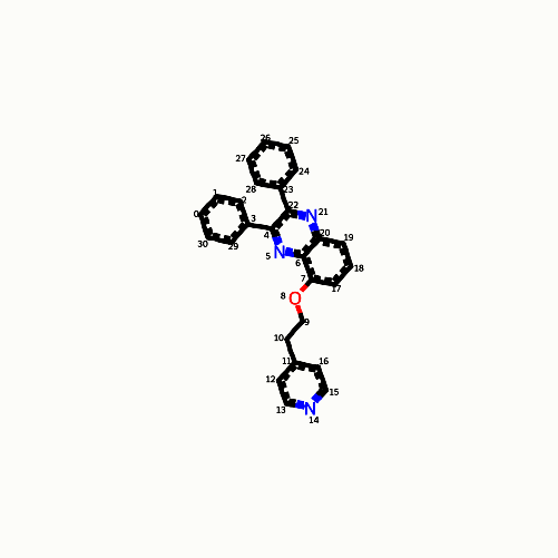 [c]1ccc(-c2nc3c(OCCc4ccncc4)cccc3nc2-c2ccccc2)cc1